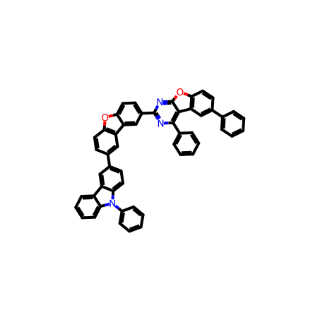 c1ccc(-c2ccc3oc4nc(-c5ccc6oc7ccc(-c8ccc9c(c8)c8ccccc8n9-c8ccccc8)cc7c6c5)nc(-c5ccccc5)c4c3c2)cc1